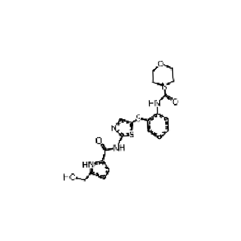 O=C(Nc1ncc(Sc2ccccc2NC(=O)N2CCOCC2)s1)c1ccc(CO)[nH]1